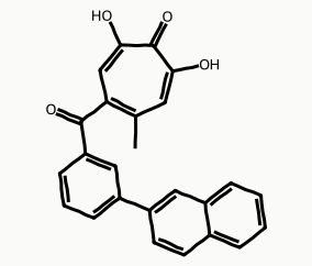 Cc1cc(O)c(=O)c(O)cc1C(=O)c1cccc(-c2ccc3ccccc3c2)c1